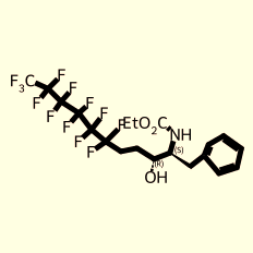 CCOC(=O)N[C@@H](Cc1ccccc1)[C@H](O)CCC(F)(F)C(F)(F)C(F)(F)C(F)(F)C(F)(F)C(F)(F)F